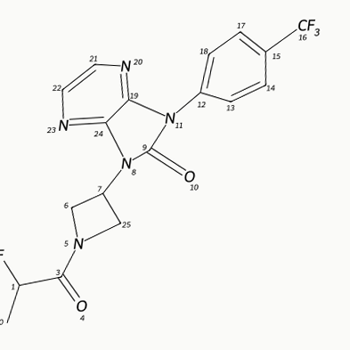 CC(F)C(=O)N1CC(n2c(=O)n(-c3ccc(C(F)(F)F)cc3)c3nccnc32)C1